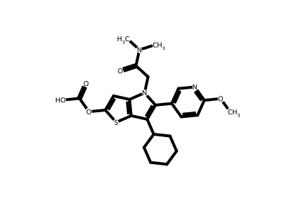 COc1ccc(-c2c(C3CCCCC3)c3sc(OC(=O)O)cc3n2CC(=O)N(C)C)cn1